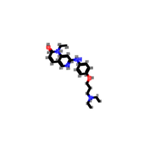 CCN(CC)CCCOc1ccc(Nc2cc3c(ccc(=O)n3CC)cn2)cc1